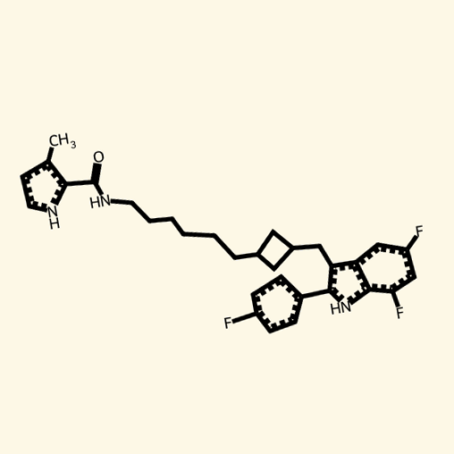 Cc1cc[nH]c1C(=O)NCCCCCCC1CC(Cc2c(-c3ccc(F)cc3)[nH]c3c(F)cc(F)cc23)C1